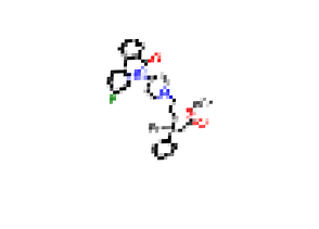 CCCOC(=O)CC(CC)(CCCN1CCC(NC(=O)c2ccccc2-c2ccc(F)cc2)CC1)c1ccccc1